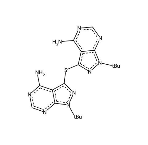 CC(C)(C)n1nc(Sc2nn(C(C)(C)C)c3ncnc(N)c23)c2c(N)ncnc21